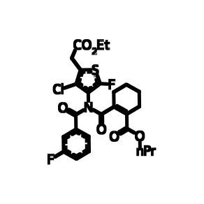 CCCOC(=O)C1=C(C(=O)N(C(=O)c2cccc(F)c2)c2c(F)sc(CC(=O)OCC)c2Cl)CCCC1